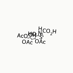 CC(=O)OCC(O)C(OC(C)=O)C(OC(C)=O)C(O)C1NC(C(=O)O)CS1